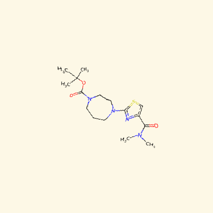 CN(C)C(=O)c1csc(N2CCCN(C(=O)OC(C)(C)C)CC2)n1